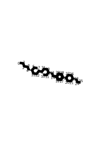 CCCCC[C@H]1CC[C@H]([C@H]2CC[C@H](CCc3ccc([C@H]4CC[C@H](CCC)CC4)cc3)CC2)CC1